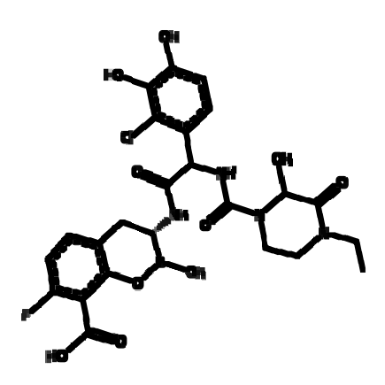 CCN1CCN(C(=O)NC(C(=O)N[C@H]2Cc3ccc(F)c(C(=O)O)c3OB2O)c2ccc(O)c(O)c2Cl)C(O)C1=O